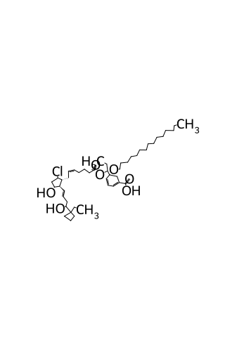 CCCCCCCCCCCCCCCOC1(C(CC)OC(=O)CCC/C=C\C[C@@H]2[C@@H](/C=C/C[C@H](O)C3(CC)CCC3)[C@H](O)C[C@H]2Cl)C=CC=C(C(=O)O)C1